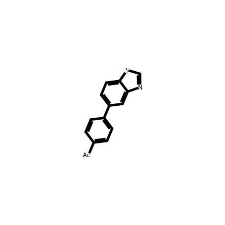 CC(=O)c1ccc(-c2ccc3scnc3c2)cc1